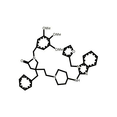 COc1cc(CN2CC(CCN3CCC(Nc4nc5ccccc5n4Cc4ccco4)CC3)(Cc3ccccc3)CC2=O)cc(OC)c1OC